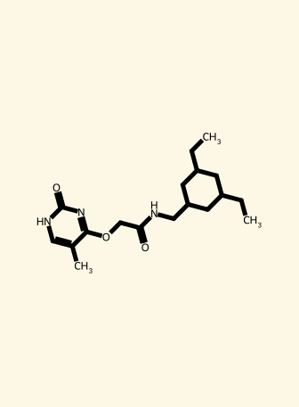 CCC1CC(CC)CC(CNC(=O)COc2nc(=O)[nH]cc2C)C1